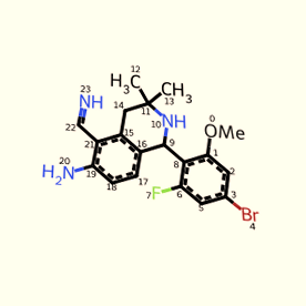 COc1cc(Br)cc(F)c1C1NC(C)(C)Cc2c1ccc(N)c2C=N